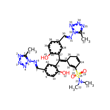 Cc1nnnn1N=Cc1ccc(O)c(C(=C2C=C(S(=O)(=O)N(C)C)C=CC2)c2cc(C=Nn3nnnc3C)ccc2O)c1